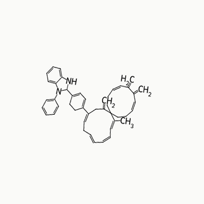 C=C1/C=C\CCC2(CC/C=C\C1=C)C(=C)C/C(C1=CC=C(C3Nc4ccccc4N3c3ccccc3)CC1)=C\C/C=C/C=C\C=C\2C